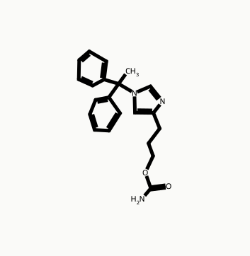 CC(c1ccccc1)(c1ccccc1)n1cnc(CCCOC(N)=O)c1